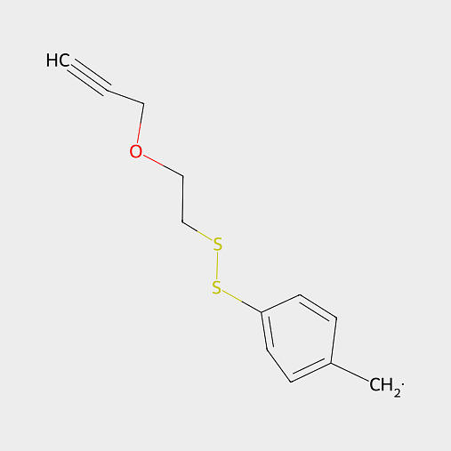 C#CCOCCSSc1ccc([CH2])cc1